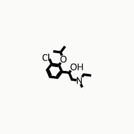 CCN(C)CC(O)c1cccc(Cl)c1OC(C)C